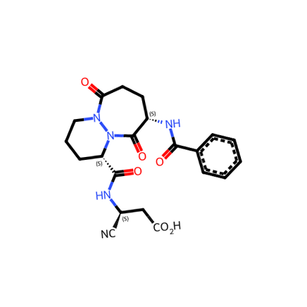 N#C[C@H](CC(=O)O)NC(=O)[C@@H]1CCCN2C(=O)CC[C@H](NC(=O)c3ccccc3)C(=O)N12